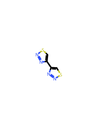 c1snnc1-c1csnn1